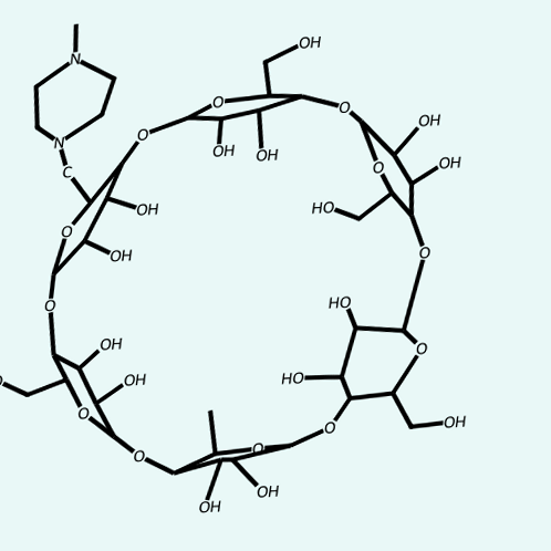 CC1OC2OC3C(CO)OC(OC4C(CO)OC(OC5C(CO)OC(OC6C(CN7CCN(C)CC7)OC(OC7C(CO)OC(OC1C(O)C2O)C(O)C7O)C(O)C6O)C(O)C5O)C(O)C4O)C(O)C3O